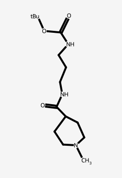 CN1CCC(C(=O)NCCCNC(=O)OC(C)(C)C)CC1